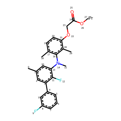 Cc1cc(-c2cccc(F)c2)c(F)c(N(C)c2c(C)ccc(OCC(=O)OC(C)C)c2C)c1